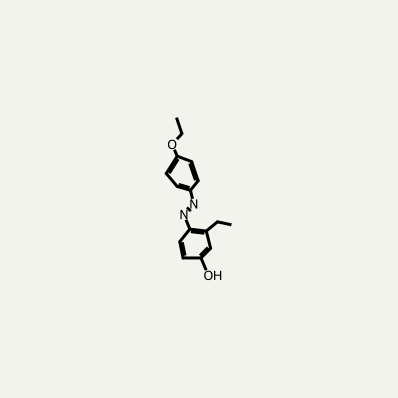 CCOc1ccc(N=Nc2ccc(O)cc2CC)cc1